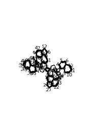 CN1B(c2cccc3c2CCC=C3)N2OC3C(c4cc5c6c(ccc1c6c42)CC5)C1ON2B(c4cccc5ccccc45)N(C)c4ccc5c6c(cc(c2c46)C31)CC5